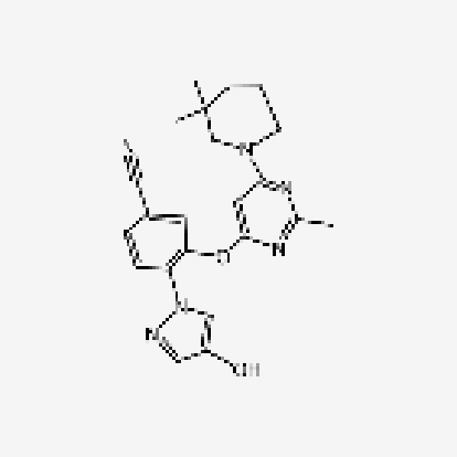 Cc1nc(Oc2cc(C#N)ccc2-n2cc(O)cn2)cc(N2CCCC(C)(C)C2)n1